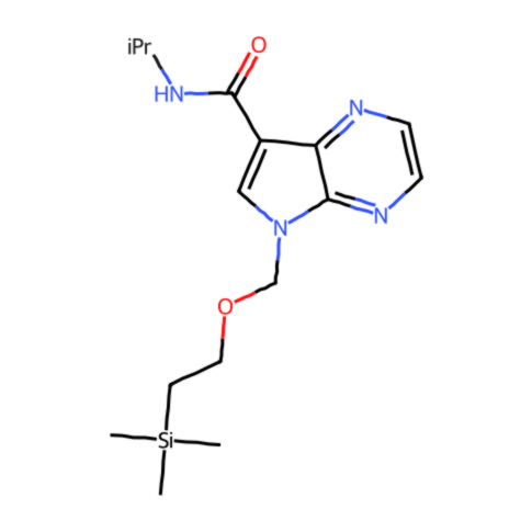 CC(C)NC(=O)c1cn(COCC[Si](C)(C)C)c2nccnc12